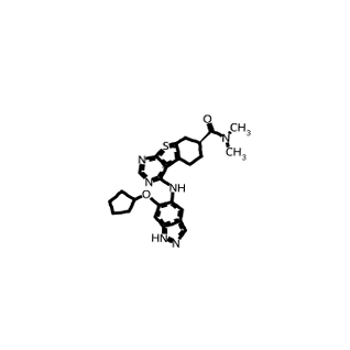 CN(C)C(=O)[C@H]1CCc2c(sc3ncnc(Nc4cc5cn[nH]c5cc4OC4CCCC4)c23)C1